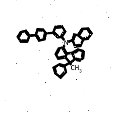 CC1(c2ccccc2)c2ccccc2-c2c(N(c3cccc(-c4ccc(-c5ccccc5)cc4)c3)c3ccc4ccccc4c3)cccc21